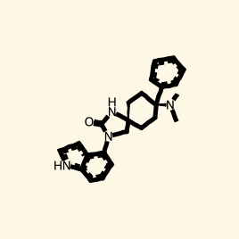 CN(C)[C@]1(c2ccccc2)CC[C@@]2(CC1)CN(c1cccc3[nH]ccc13)C(=O)N2